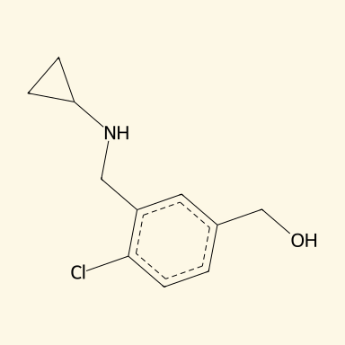 OCc1ccc(Cl)c(CNC2CC2)c1